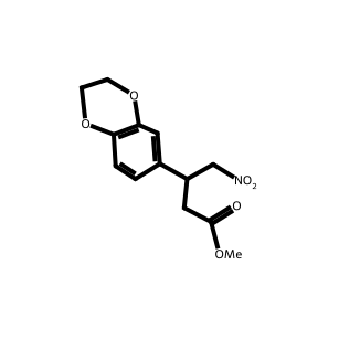 COC(=O)CC(C[N+](=O)[O-])c1ccc2c(c1)OCCO2